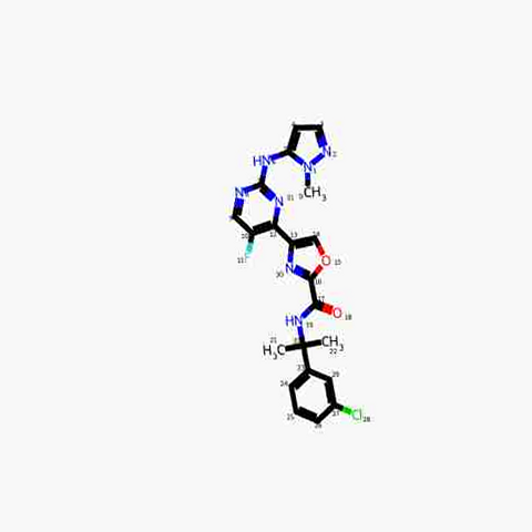 Cn1nccc1Nc1ncc(F)c(-c2coc(C(=O)NC(C)(C)c3cccc(Cl)c3)n2)n1